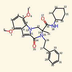 COc1ccc(OC)c2c1cc1n2CC(C)(C(=O)NC2CCCCC2)N(CCc2ccccc2)C1=O